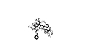 CC[C@H](C)[C@@H]([C@@H](CC(=O)N1CCC[C@H]1C(OC)C(C)C(=O)O)OC)N(C)C(=O)[C@@H](NC(=O)OCc1ccccc1)C(C)C